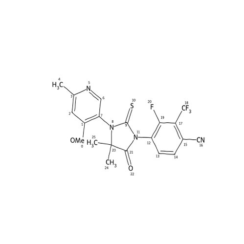 COc1cc(C)ncc1N1C(=S)N(c2ccc(C#N)c(C(F)(F)F)c2F)C(=O)C1(C)C